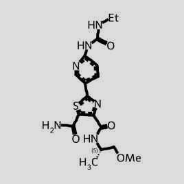 CCNC(=O)Nc1ccc(-c2nc(C(=O)N[C@@H](C)COC)c(C(N)=O)s2)cn1